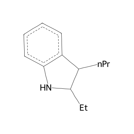 CCCC1c2ccccc2NC1CC